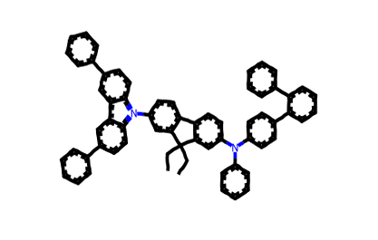 CCC1(CC)c2cc(N(c3ccccc3)c3ccc(-c4ccccc4-c4ccccc4)cc3)ccc2-c2ccc(-n3c4ccc(-c5ccccc5)cc4c4cc(-c5ccccc5)ccc43)cc21